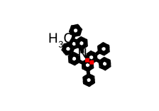 CC1(c2ccccc2)c2ccccc2-c2c(N(c3ccc(-c4ccccc4)c(-c4ccccc4)c3)c3ccccc3-c3cccc(-c4ccccc4)c3)cccc21